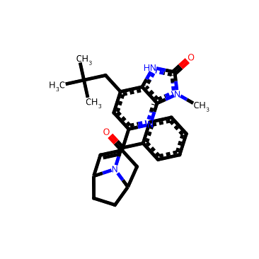 Cn1c(=O)[nH]c2c(CC(C)(C)C)cc(C3=CC4CCC(C3)N4C(=O)c3ccccc3)nc21